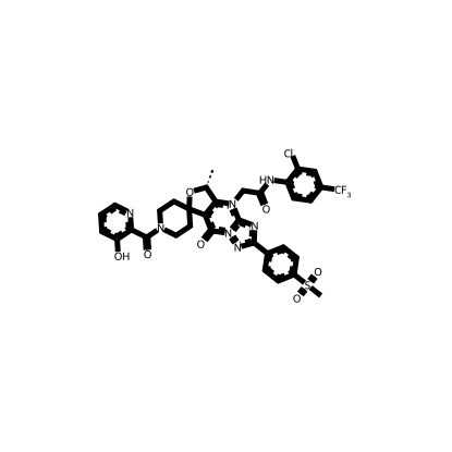 C[C@H]1OC2(CCN(C(=O)c3ncccc3O)CC2)c2c1n(CC(=O)Nc1ccc(C(F)(F)F)cc1Cl)c1nc(-c3ccc(S(C)(=O)=O)cc3)nn1c2=O